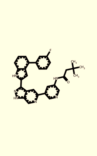 CC(C)(C)CC(=O)Nc1cncc(-c2cc3c(-c4cc5c(-c6cccc(F)c6)cccc5[nH]4)n[nH]c3cn2)c1